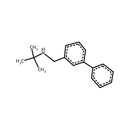 CC(C)(C)NCc1cccc(-c2ccccc2)c1